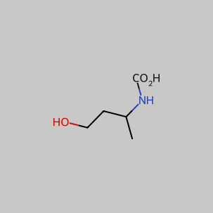 CC(CCO)NC(=O)O